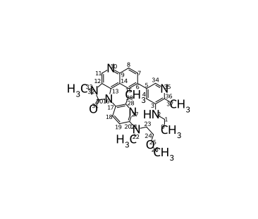 CCNc1cc(-c2ccc3ncc4c(c3c2)n(-c2ccc(N(C)CCOC)nc2C)c(=O)n4C)cnc1C